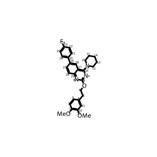 COc1ccc(CCOc2nc(N3CCCCC3)c3cc(-c4ccc(F)cc4)ccc3n2)cc1OC